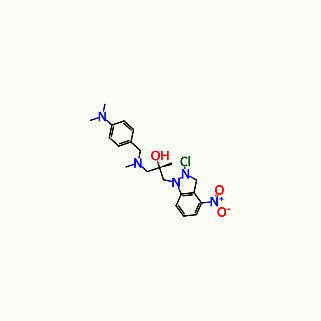 CN(Cc1ccc(N(C)C)cc1)C[C@](C)(O)CN1c2cccc([N+](=O)[O-])c2CN1Cl